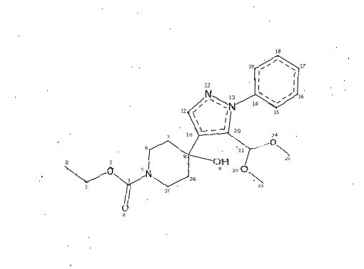 CCOC(=O)N1CCC(O)(c2cnn(-c3ccccc3)c2C(OC)OC)CC1